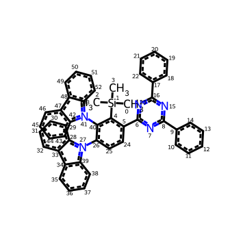 C[Si](C)(C)c1c(-c2nc(-c3ccccc3)nc(-c3ccccc3)n2)ccc(-n2c3ccccc3c3ccccc32)c1-n1c2ccccc2c2ccccc21